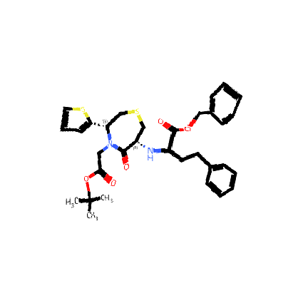 CC(C)(C)OC(=O)CN1C(=O)[C@@H](NC(CCc2ccccc2)C(=O)OCc2ccccc2)CSC[C@H]1c1cccs1